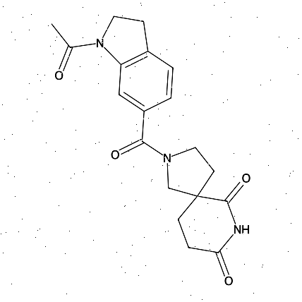 CC(=O)N1CCc2ccc(C(=O)N3CCC4(CCC(=O)NC4=O)C3)cc21